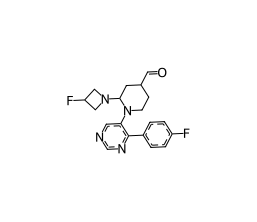 O=CC1CCN(c2cncnc2-c2ccc(F)cc2)C(N2CC(F)C2)C1